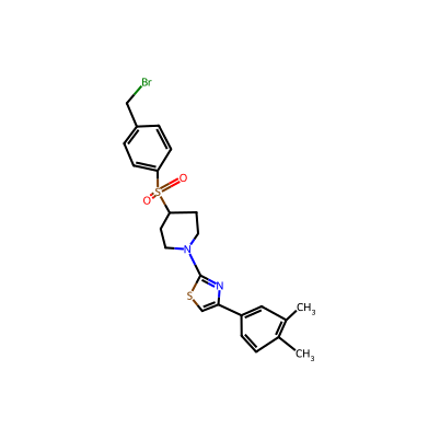 Cc1ccc(-c2csc(N3CCC(S(=O)(=O)c4ccc(CBr)cc4)CC3)n2)cc1C